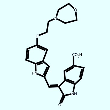 O=C1Nc2ccc(C(=O)O)cc2C1=Cc1cc2cc(OCCN3CCOCC3)ccc2[nH]1